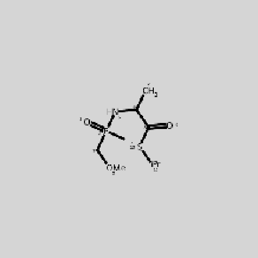 COCP(=O)(I)NC(C)C(=O)SC(C)C